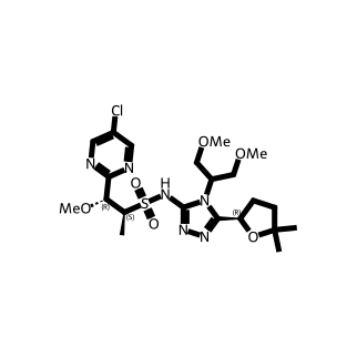 COCC(COC)n1c(NS(=O)(=O)[C@@H](C)[C@H](OC)c2ncc(Cl)cn2)nnc1[C@H]1CCC(C)(C)O1